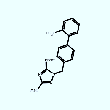 CCCCCc1nc(OC)nn1Cc1ccc(-c2ccccc2C(=O)O)cc1